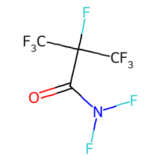 O=C(N(F)F)C(F)(C(F)(F)F)C(F)(F)F